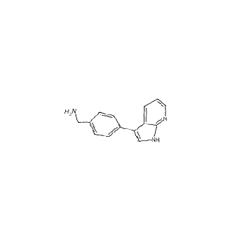 NCc1ccc(-c2c[nH]c3ncccc23)cc1